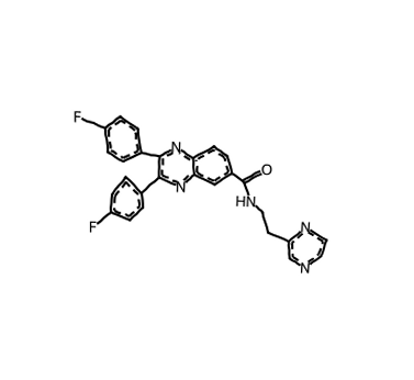 O=C(NCCc1cnccn1)c1ccc2nc(-c3ccc(F)cc3)c(-c3ccc(F)cc3)nc2c1